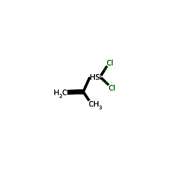 C=C(C)C[SiH](Cl)Cl